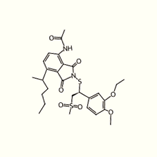 CCCCC(C)c1ccc(NC(C)=O)c2c1C(=O)N(S[C@H](CS(C)(=O)=O)c1ccc(OC)c(OCC)c1)C2=O